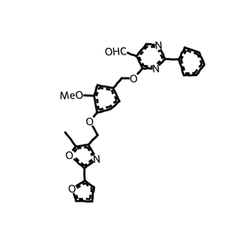 COc1cc(COc2nc(-c3ccccc3)ncc2C=O)ccc1OCc1nc(-c2ccco2)oc1C